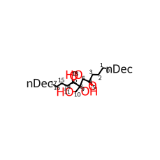 CCCCCCCCCCCCCC(=O)C(O)C(O)(CO)C(=O)CCCCCCCCCCCCC